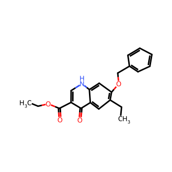 CCOC(=O)c1c[nH]c2cc(OCc3ccccc3)c(CC)cc2c1=O